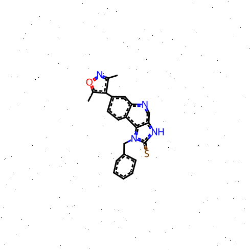 Cc1noc(C)c1-c1ccc2c(c1)ncc1[nH]c(=S)n(Cc3ccccc3)c12